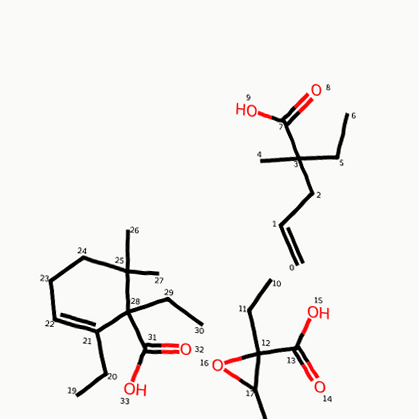 C=CCC(C)(CC)C(=O)O.CCC1(C(=O)O)OC1C.CCC1=CCCC(C)(C)C1(CC)C(=O)O